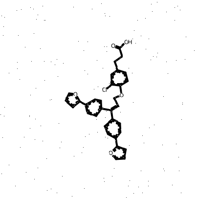 O=C(O)CCc1ccc(OCC=C(c2ccc(-c3ccco3)cc2)c2ccc(-c3ccco3)cc2)c(Cl)c1